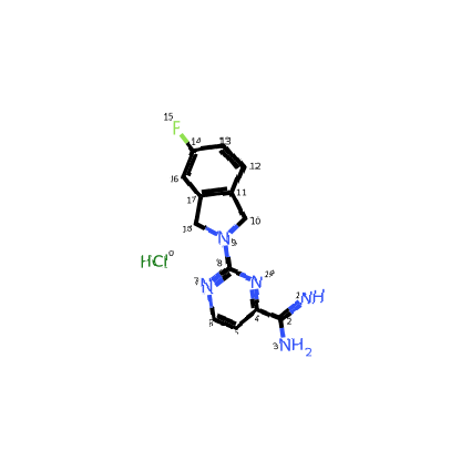 Cl.N=C(N)c1ccnc(N2Cc3ccc(F)cc3C2)n1